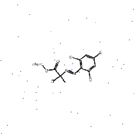 CCCCCOC(=O)C(C)(Cl)/N=N/c1c(Cl)cc(Cl)cc1Cl